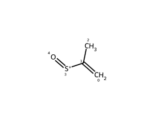 C=C(C)[S+]=O